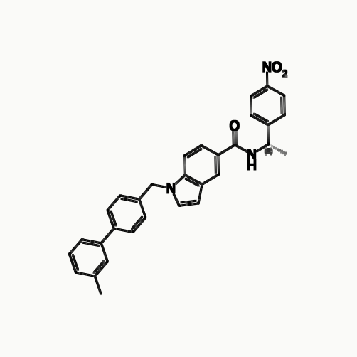 Cc1cccc(-c2ccc(Cn3ccc4cc(C(=O)N[C@@H](C)c5ccc([N+](=O)[O-])cc5)ccc43)cc2)c1